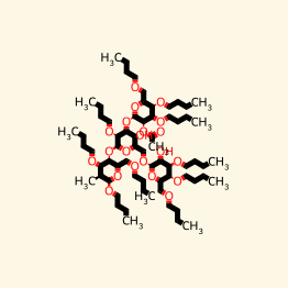 CCCCOCC1O[C@@H](OCCCC)[C@@H](C)C(OCCCC)[C@@H]1O[C@@H]1OC(CO[C@H]2OC(COCCCC)[C@@H](OCCCC)[C@H](OCCCC)C2O)[C@@H](O)C(O[C@@H]2OC(COCCCC)[C@H](OCCCC)C(OCCCC)[C@@H]2OC(C)=O)[C@H]1OCCCC